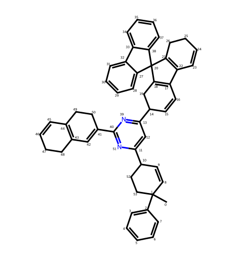 CC1(c2ccccc2)C=CC(c2cc(C3C=CC4=C(C3)C3(C5=C4C=CCC5)c4ccccc4-c4ccccc43)nc(C3=CC4=C(C=CCC4)CC3)n2)CC1